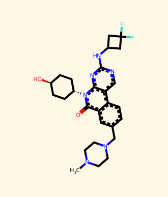 CN1CCN(Cc2ccc3c(c2)c(=O)n([C@H]2CC[C@H](O)CC2)c2nc(NC4CC(F)(F)C4)ncc32)CC1